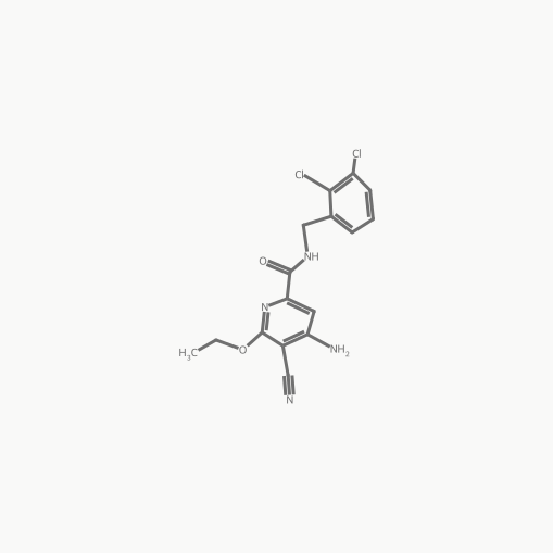 CCOc1nc(C(=O)NCc2cccc(Cl)c2Cl)cc(N)c1C#N